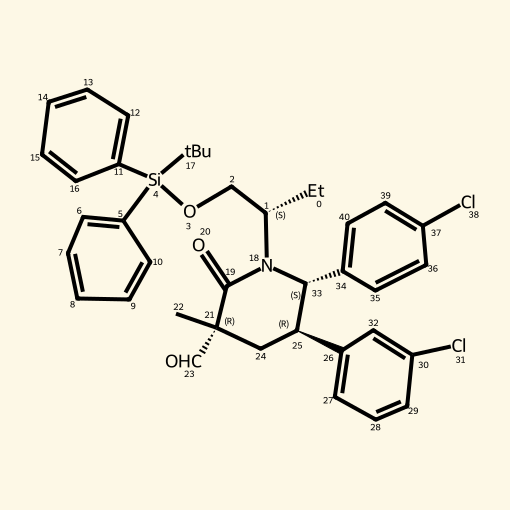 CC[C@@H](CO[Si](c1ccccc1)(c1ccccc1)C(C)(C)C)N1C(=O)[C@@](C)(C=O)C[C@H](c2cccc(Cl)c2)[C@H]1c1ccc(Cl)cc1